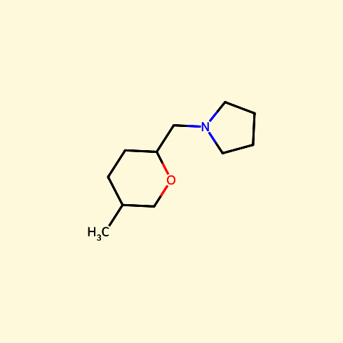 CC1CCC(CN2CCCC2)OC1